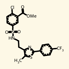 COC(=O)c1cc(S(=O)(=O)NCCc2nc(-c3ccc(C(F)(F)F)cc3)sc2C)ccc1Cl